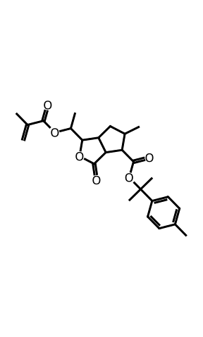 C=C(C)C(=O)OC(C)C1OC(=O)C2C1CC(C)C2C(=O)OC(C)(C)c1ccc(C)cc1